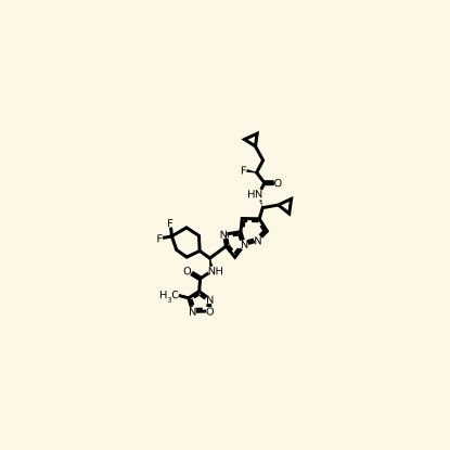 Cc1nonc1C(=O)N[C@H](c1cn2ncc([C@H](NC(=O)[C@@H](F)CC3CC3)C3CC3)cc2n1)C1CCC(F)(F)CC1